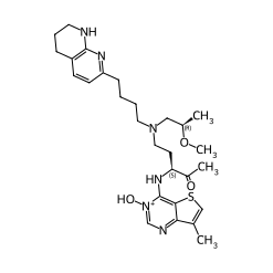 CO[C@H](C)CN(CCCCc1ccc2c(n1)NCCC2)CC[C@H](Nc1c2scc(C)c2nc[n+]1O)C(C)=O